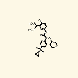 O=C(Nc1ccc(Cl)c(C(C(=O)O)C(=O)O)n1)C(OC1CCOCC1)c1ccc(S(=O)(=O)C2CC2)cc1